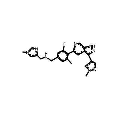 Cc1cc(CNCc2cn(C)cn2)cc(F)c1-c1cc2c(-c3cnn(C)c3)n[nH]c2cn1